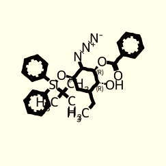 CCC1C[C@@H](O[Si](c2ccccc2)(c2ccccc2)C(C)(C)C)C(N=[N+]=[N-])[C@@H](OC(=O)c2ccccc2)[C@@H]1O